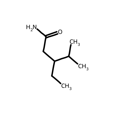 CCC(CC(N)=O)C(C)C